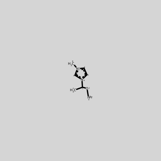 CCCOC(C)n1cc[n+](C)c1